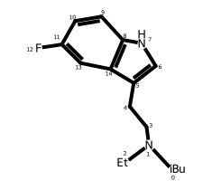 CCC(C)N(CC)CCc1c[nH]c2ccc(F)cc12